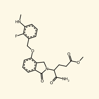 CNc1cccc(COc2cccc3c2CN(C(CCC(=O)OC)C(N)=O)C3=O)c1F